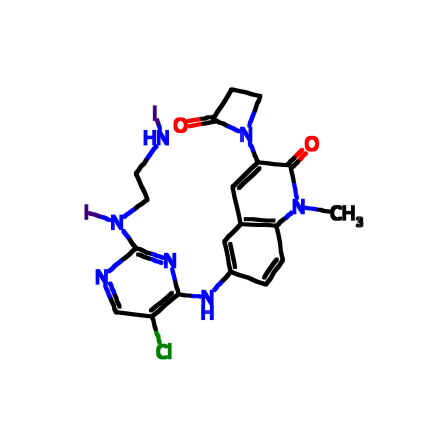 Cn1c(=O)c(N2CCC2=O)cc2cc(Nc3nc(N(I)CCNI)ncc3Cl)ccc21